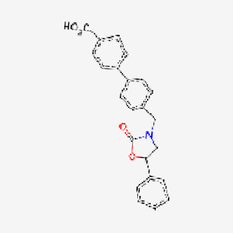 O=C(O)c1ccc(-c2ccc(CN3CC(c4ccccc4)OC3=O)cc2)cc1